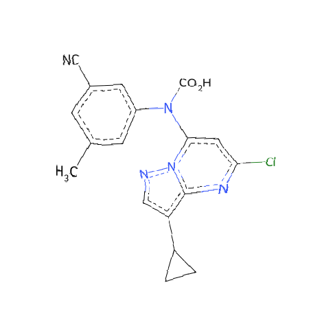 Cc1cc(C#N)cc(N(C(=O)O)c2cc(Cl)nc3c(C4CC4)cnn23)c1